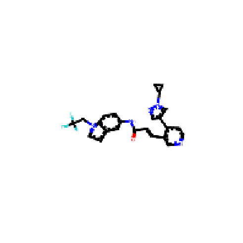 O=C(C=Cc1cnccc1-c1cnn(C2CC2)c1)Nc1ccc2c(ccn2CC(F)(F)F)c1